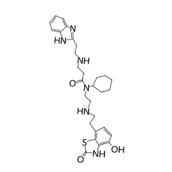 O=C(CCNCCc1nc2ccccc2[nH]1)N(CCNCCc1ccc(O)c2[nH]c(=O)sc12)C1CCCCC1